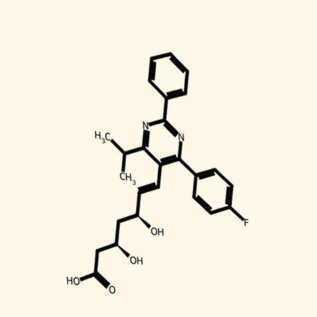 CC(C)c1nc(-c2ccccc2)nc(-c2ccc(F)cc2)c1C=C[C@@H](O)C[C@@H](O)CC(=O)O